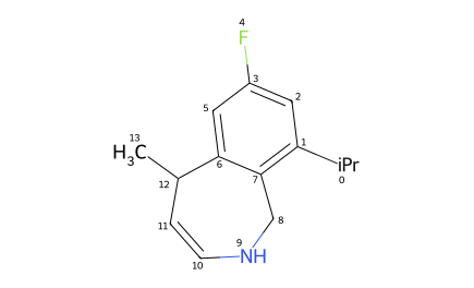 CC(C)c1cc(F)cc2c1CNC=CC2C